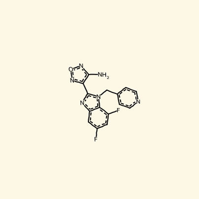 Nc1nonc1-c1nc2cc(F)cc(F)c2n1Cc1ccncc1